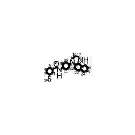 CSc1cccc(C(=O)Nc2ccc(N3C=CCNc4c3ccc3ccccc43)cc2)c1